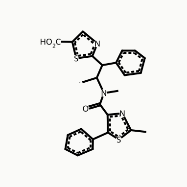 [CH2]C(C(c1ccccc1)c1ncc(C(=O)O)s1)N(C)C(=O)c1nc(C)sc1-c1ccccc1